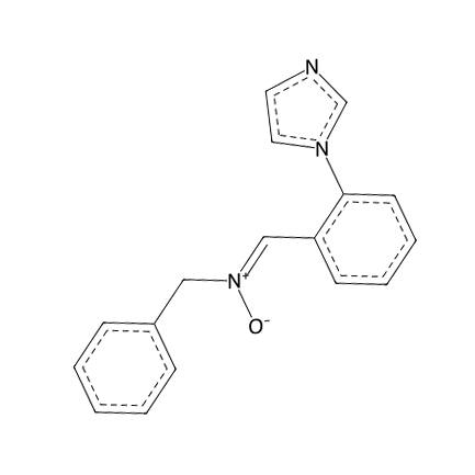 [O-]/[N+](=C\c1ccccc1-n1ccnc1)Cc1ccccc1